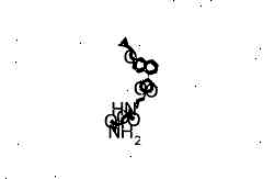 NC(=O)COC(=O)NCCC[C@H]1OC[C@H](c2cccc3cc(OCC4CC4)ccc32)CO1